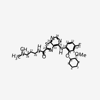 CO[C@@H]1CCCC[C@H]1Oc1cc(F)ccc1Nc1ncnc2sc(C(=O)NCCCN(C)C)nc12